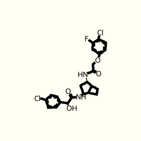 O=C(COc1ccc(Cl)c(F)c1)N[C@H]1CC(NC(=O)[C@@H](O)c2ccc(Cl)cc2)C2CCC21